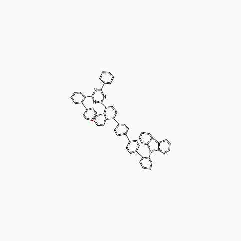 c1ccc(-c2nc(-c3ccccc3-c3ccccc3)nc(-c3ccc(-c4ccc(-c5ccc(-c6ccccc6-n6c7ccccc7c7ccccc76)cc5)cc4)c4ccccc34)n2)cc1